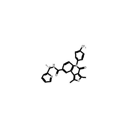 Cc1oc(C)c2c1c(=O)n(-c1ccc(C(F)(F)F)cc1)c1ccc(C(=O)N[C@@H](C)c3ccccn3)cc21